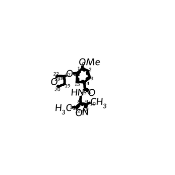 COc1ccc(C(=O)Nc2c(C)noc2C)cc1OC1CCOC1